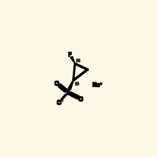 O=S(=O)([O-])[C@@H]1C[C@H]1F.[Na+]